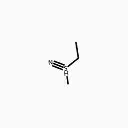 CC[SH](C)#N